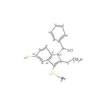 CC(C)Sc1c(CC(=O)O)n(C(Cl)c2ccccc2)c2ccc(F)cc12